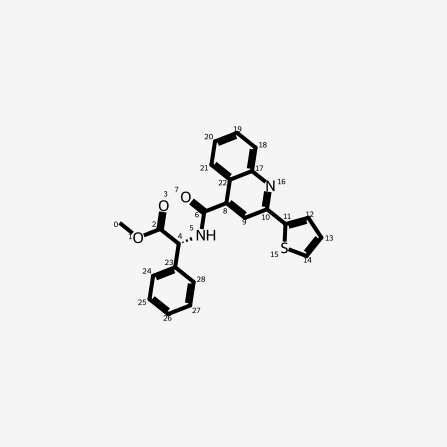 COC(=O)[C@H](NC(=O)c1cc(-c2cccs2)nc2ccccc12)c1ccccc1